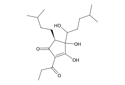 CCC(=O)C1=C(O)C(O)(C(O)CCC(C)C)[C@H](CCC(C)C)C1=O